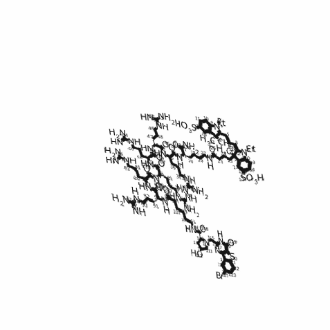 CCN1/C(=C/C=C/C2=[N+](CC)c3ccc(S(=O)(=O)O)cc3C2(C)C)C(C)(CCCC(=O)NCCCC[C@@H](NC(=O)C(CCCNC(=N)N)NC(=O)[C@@H](CCCNC(=N)N)NC(=O)C(CCCNC(=N)N)NC(=O)[C@@H](CCCNC(=N)N)NC(=O)C(CCCNC(=N)N)NC(=O)[C@@H](CCCNC(=N)N)NC(=O)CCCCCNC(=O)[C@H]2C[C@H](O)CN2Cc2nc3c(sc4ccc(Br)cc43)c(=O)[nH]2)C(N)=O)c2cc(S(=O)(=O)O)ccc21